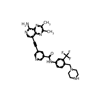 Cc1nc2c(C#Cc3cncc(C(=O)Nc4ccc(CN5CCNCC5)c(C(F)(F)F)c4)c3)cnc(N)c2nc1C